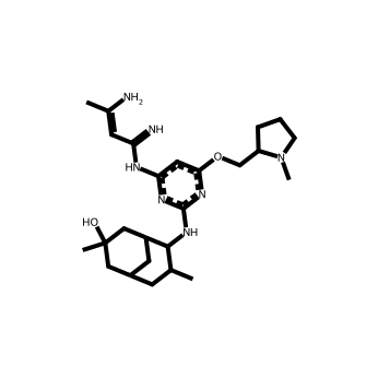 C/C(N)=C/C(=N)Nc1cc(OCC2CCCN2C)nc(NC2C(C)CC3CC2CC(C)(O)C3)n1